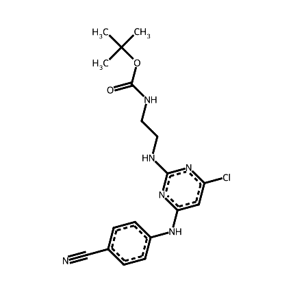 CC(C)(C)OC(=O)NCCNc1nc(Cl)cc(Nc2ccc(C#N)cc2)n1